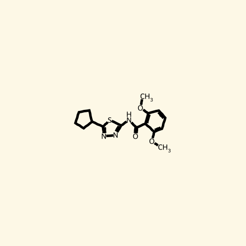 COc1cccc(OC)c1C(=O)Nc1nnc(C2CCCC2)s1